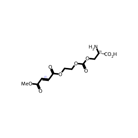 COC(=O)/C=C/C(=O)OCCOC(=O)OC[C@H](N)C(=O)O